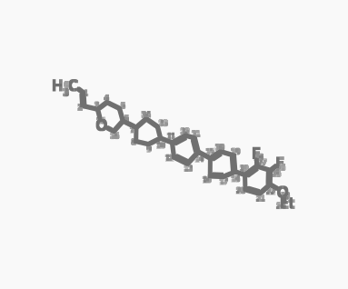 C/C=C/C1CCC(C2CCC(c3ccc(-c4ccc(-c5ccc(OCC)c(F)c5F)cc4)cc3)CC2)CO1